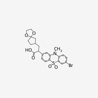 CN1c2cc(C(CC3CCC4(C3)OCCO4)C(=O)O)ccc2S(=O)(=O)c2cc(Br)ccc21